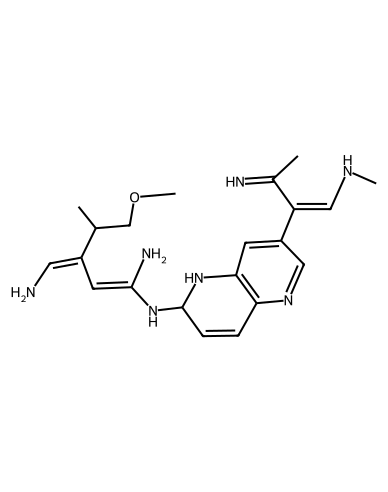 CN/C=C(\C(C)=N)c1cnc2c(c1)NC(N/C(N)=C/C(=C\N)C(C)COC)C=C2